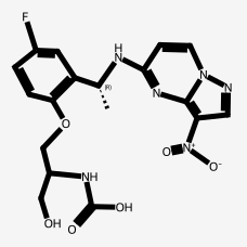 C[C@@H](Nc1ccn2ncc([N+](=O)[O-])c2n1)c1cc(F)ccc1OCC(CO)NC(=O)O